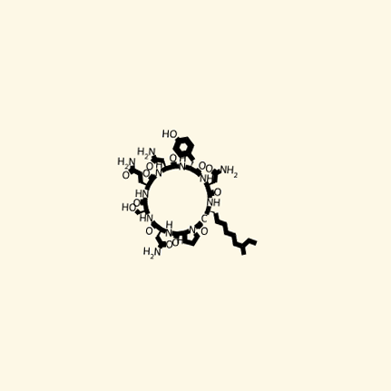 CCC(C)CCCCCC[C@@H]1CC(=O)N2CCC[C@@H]2C(=O)N[C@@H](CC(N)=O)C(=O)N[C@@H](CO)C(=O)N[C@@H](CCC(N)=O)C(=O)N[C@@H](CC(N)=O)C(=O)N[C@H](Cc2ccc(O)cc2)C(=O)N[C@@H](CC(N)=O)C(=O)N1